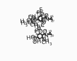 COc1cc(B(O)O)cc(OC(F)F)c1C(=O)NC1CC1.COc1cc(B2OC(C)(C)C(C)(C)O2)cc(OC(F)F)c1C(=O)NC1CC1